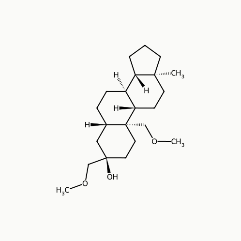 COC[C@@]1(O)CC[C@@]2(COC)[C@@H](CC[C@H]3[C@@H]4CCC[C@@]4(C)CC[C@@H]32)C1